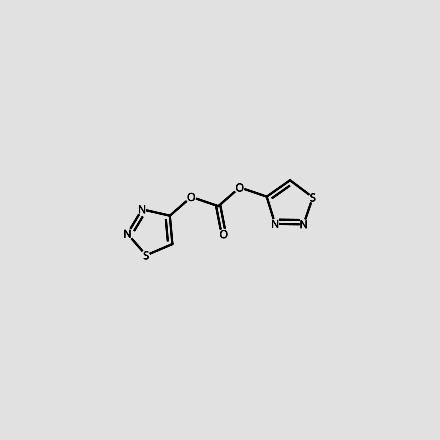 O=C(Oc1csnn1)Oc1csnn1